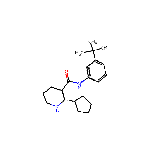 CC(C)(C)c1cccc(NC(=O)C2CCCN[C@H]2C2CCCC2)c1